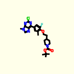 Cc1cc(-c2nc(Cl)nc3c2ncn3C)cc(F)c1OCCC1CCN(C(=O)OC(C)(C)C)CC1